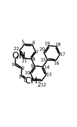 C=CC=CO.c1ccc(-c2ccccc2-c2ccccc2)cc1